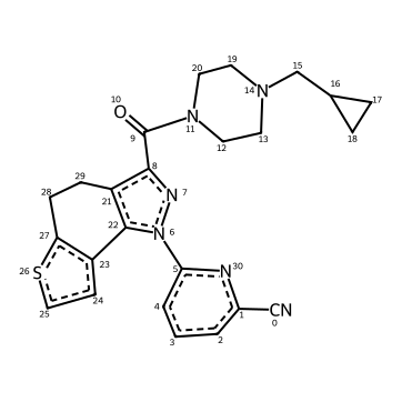 N#Cc1cccc(-n2nc(C(=O)N3CCN(CC4CC4)CC3)c3c2-c2ccsc2CC3)n1